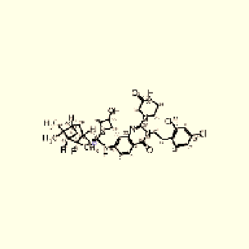 C[C@@H]1[C@@H](/N=C(/Nc2ccc3c(=O)n(CCc4ccc(Cl)cc4Cl)c(N4CCNC(=O)C4)nc3c2)N2CC(O)C2)C[C@@H]2C[C@H]1C2(C)C